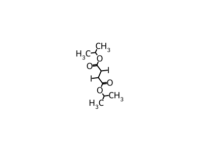 CC(C)OC(=O)C(I)C(I)C(=O)OC(C)C